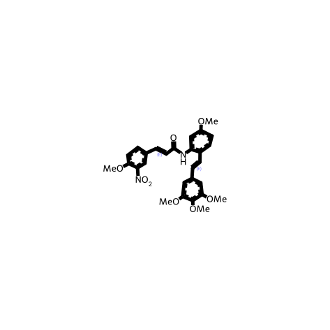 COc1ccc(/C=C/c2cc(OC)c(OC)c(OC)c2)c(NC(=O)/C=C/c2ccc(OC)c([N+](=O)[O-])c2)c1